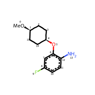 CO[C@H]1CC[C@@H](Oc2cc(F)ccc2N)CC1